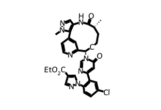 CCOC(=O)c1cnn(-c2ccc(Cl)cc2-c2cc(=O)n([C@H]3CCC[C@@H](C)C(=O)Nc4cnn(C)c4-c4ccnc3c4)cn2)c1